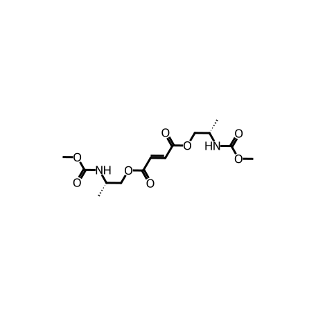 COC(=O)N[C@@H](C)COC(=O)/C=C/C(=O)OC[C@H](C)NC(=O)OC